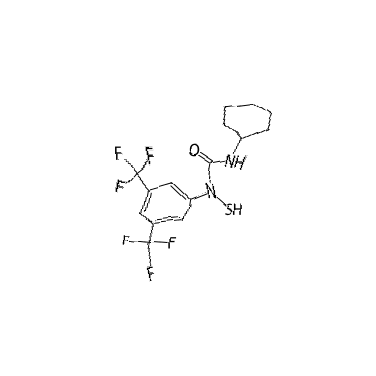 O=C(NC1CCCCC1)N(S)c1cc(C(F)(F)F)cc(C(F)(F)F)c1